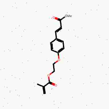 C=C(C)C(=O)OCCOc1ccc(C=CC(=O)OC)cc1